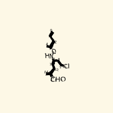 C=C/C=C(\C)ONC(/C=C/Cl)=C/C=C(\C)C=O